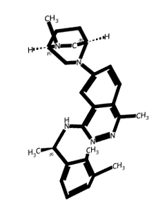 Cc1cccc([C@@H](C)Nc2nnc(C)c3ccc(N4C[C@H]5CC[C@@H]4CN5C)cc23)c1C